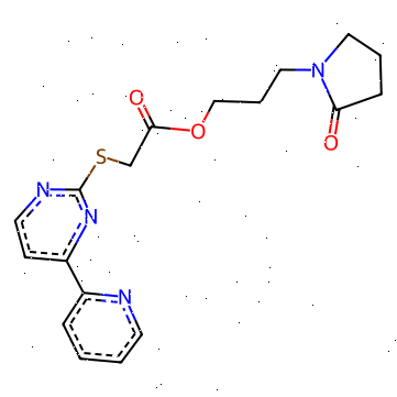 O=C(CSc1nccc(-c2ccccn2)n1)OCCCN1CCCC1=O